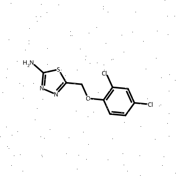 Nc1nnc(COc2ccc(Cl)cc2Cl)s1